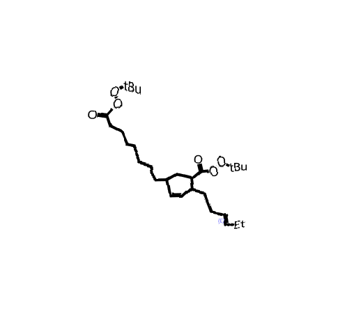 CC/C=C/CCC1C=CC(CCCCCCCC(=O)OOC(C)(C)C)CC1C(=O)OOC(C)(C)C